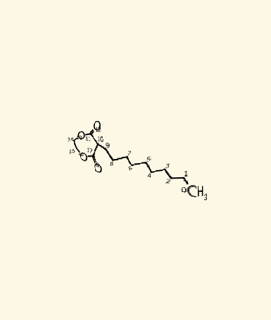 CCCCCCCCCCC1C(=O)OCCOC1=O